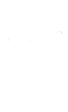 Cc1ccc(F)c(OCCC#N)c1